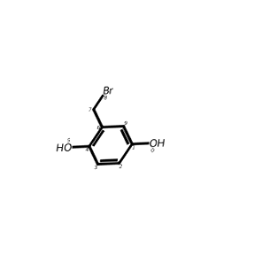 Oc1ccc(O)c(CBr)c1